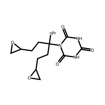 CCCC(CCC1CO1)(CCC1CO1)n1c(=O)[nH]c(=O)[nH]c1=O